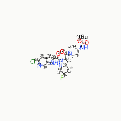 CC(C)(C)OC(=O)NC1CCN(C(=O)C(Cc2ccc(F)cc2)NC(=O)c2cc3cc(Cl)ncc3[nH]2)CC1